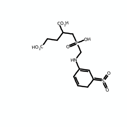 O=C(O)CCC(CP(=O)(O)CNC1=CC(=S(=O)=O)CC=C1)C(=O)O